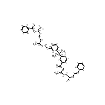 CCC(OCOc1ccccc1)OCC(C)OC(=O)c1cccc(C(C)(C)c2cccc(OCOC(C)COCC(C)OC(=O)c3ccccc3)c2)c1